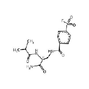 CC(C)C(=O)N[C@@H](CNC(=O)c1ccc(S(=O)(=O)F)cc1)C(N)=O